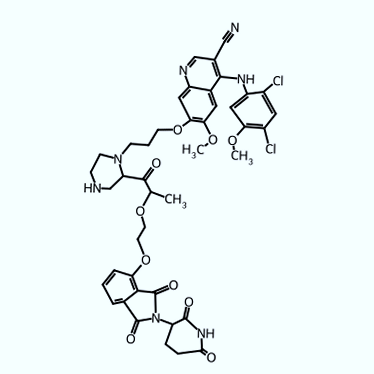 COc1cc(Nc2c(C#N)cnc3cc(OCCCN4CCNCC4C(=O)C(C)OCCOc4cccc5c4C(=O)N(C4CCC(=O)NC4=O)C5=O)c(OC)cc23)c(Cl)cc1Cl